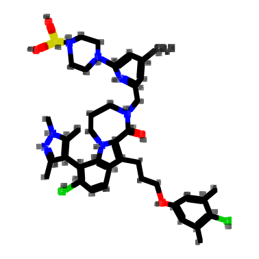 Cc1cc(OCCCc2c3n(c4c(-c5c(C)nn(C)c5C)c(Cl)ccc24)CCCN(Cc2cc(C(=O)O)cc(N4CCN([SH](=O)=O)CC4)n2)C3=O)cc(C)c1Cl